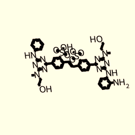 CN(CCO)c1nc(Nc2ccccc2)nc(-c2ccc(C=Cc3ccc(-c4nc(Nc5ccccc5N)nc(N(C)CCO)n4)cc3S(=O)(=O)O)c(S(=O)(=O)O)c2)n1